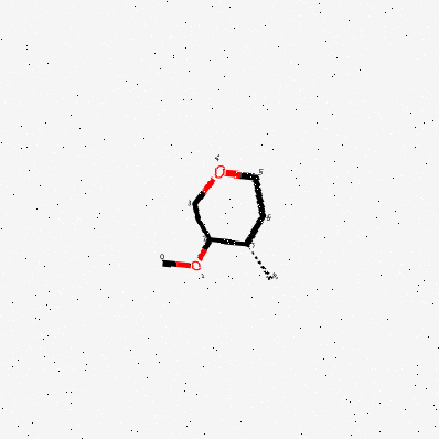 COC1COCC[C@@H]1C